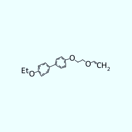 C=COCCOc1ccc(-c2ccc(OCC)cc2)cc1